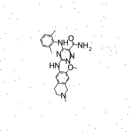 COc1cc2c(cc1Nc1nnc(C(N)=O)c(Nc3c(C)cccc3C)n1)CCN(C)C2